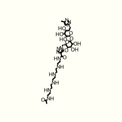 CC(=O)NCCNCCNCCNCCNCCNC(=O)c1cn(C[C@H]2O[C@@H](OC3OC(Cn4cc(C)nn4)[C@@H](O)[C@H](O)[C@@H]3O)C(O)C(O)C2O)nn1